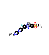 CC(C)CN1CCC(N2CCC(c3cc4nc(-c5ccc(S(C)(=O)=O)cc5)n(C)c4cc3F)CC2)CC1